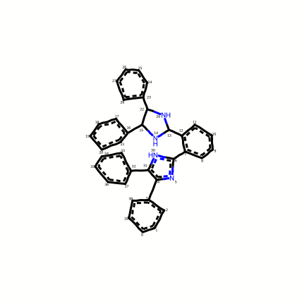 c1ccc(-c2nc(-c3ccccc3C3NC(c4ccccc4)C(c4ccccc4)N3)[nH]c2-c2ccccc2)cc1